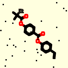 C=Cc1ccc(OC(=O)c2ccc(OC(=O)C(C)(C)CC)cc2)cc1